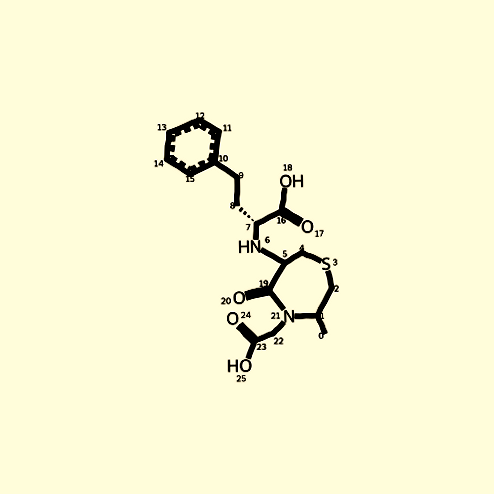 CC1CSCC(N[C@H](CCc2ccccc2)C(=O)O)C(=O)N1CC(=O)O